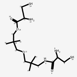 CC(C)(CNC(=O)C(N)CS)COCC(C)(C)COC(=O)C(N)CS